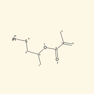 C=C(C)C(=O)OC(C)CSC(C)C